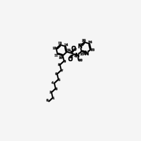 CCCCCCCCCCc1ccccc1S(=O)(=O)N(C)c1ncccn1